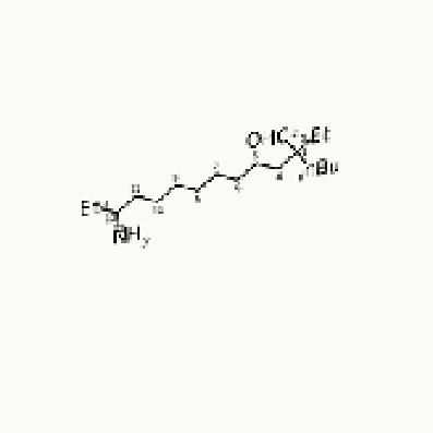 CCCCC(C=O)(CC)CCCCCCCCC(N)CC